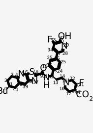 CC(C)(C)[C@H]1CCc2nc3sc(C(=O)N[C@H](CCN4CC[C@@H](C(=O)O)[C@@H](F)C4)c4ccc(-c5cnc(O)c(F)c5)cc4)nc3cc2C1